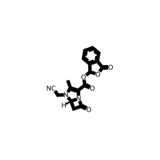 CC1=C(C(=O)OC2OC(=O)c3ccccc32)N2C(=O)C[C@@H]2N1CC#N